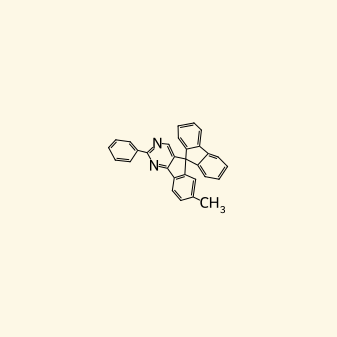 Cc1ccc2c(c1)C1(c3ccccc3-c3ccccc31)c1cnc(-c3ccccc3)nc1-2